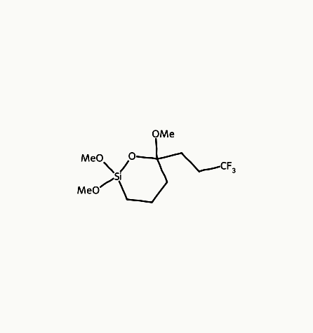 COC1(CCC(F)(F)F)CCC[Si](OC)(OC)O1